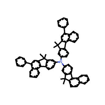 CC1(C)c2cc(N(c3ccc4c(c3)C(C)(C)c3cc(-c5ccccc5)c5ccccc5c3-4)c3ccc4c(c3)C(C)(C)c3cc(-c5ccccc5)c5ccccc5c3-4)ccc2-c2c1ccc1ccccc21